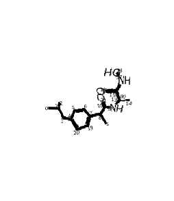 CC(C)Cc1ccc(C(C)C(=O)N[C@H](C)C(=O)NO)cc1